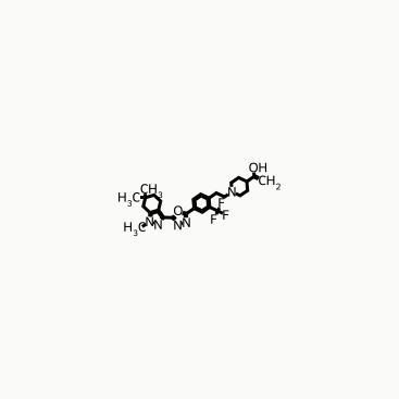 C=C(O)C1CCN(CCc2ccc(-c3nnc(-c4nn(C)c5c4CCC(C)(C)C5)o3)cc2C(F)(F)F)CC1